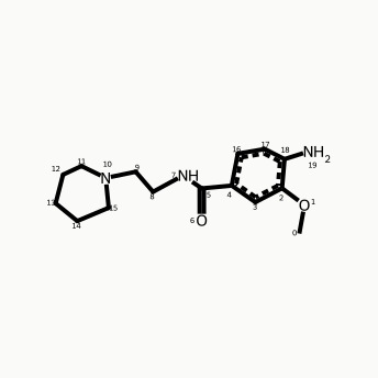 COc1cc(C(=O)NCCN2CCCCC2)ccc1N